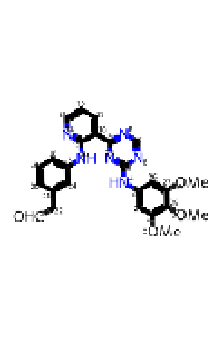 COc1cc(Nc2ncnc(-c3cccnc3Nc3cccc(CC=O)c3)n2)cc(OC)c1OC